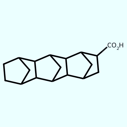 O=C(O)C1CC2CC1C1C3CC(C4C5CCC(C5)C34)C21